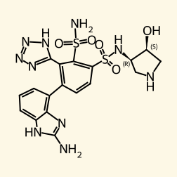 Nc1nc2c(-c3ccc(S(=O)(=O)N[C@@H]4CNC[C@@H]4O)c(S(N)(=O)=O)c3-c3nnn[nH]3)cccc2[nH]1